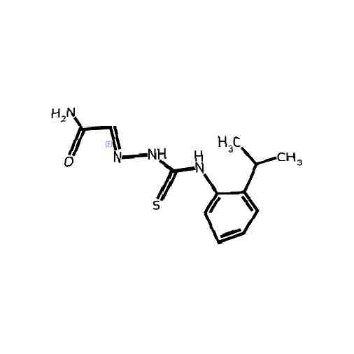 CC(C)c1ccccc1NC(=S)N/N=C/C(N)=O